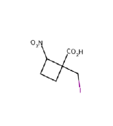 O=C(O)C1(CI)CCC1[N+](=O)[O-]